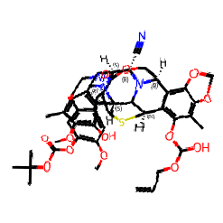 C=CCOC(O)Oc1c(C)c2c(c3c1[C@H]1SC[C@]4(NCCc5cc(OC(=O)OC(C)(C)C)c(OC)cc54)C(=O)OC[C@@H]3N3C1[C@@H]1c4c(cc(C)c(OC)c4O)C[C@@H]([C@@H]3C#N)N1C)OCO2